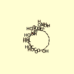 COC(=O)[C@H]1[C@@H]2C[C@@H](OC3OC(C)C(O)C(N)C3O)/C=C/C=C/C=C/C=C/C=C/C=C/C=C/[C@H](C)[C@@H](O)[C@@H](C)C(C)OC(=O)C[C@H](O)C[C@H](O)CC[C@@H](O)[C@H](O)C[C@H](O)C[C@](O)(C[C@@H]1O)O2